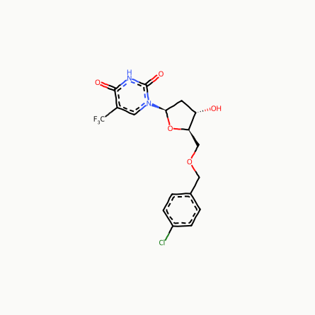 O=c1[nH]c(=O)n([C@H]2C[C@H](O)[C@@H](COCc3ccc(Cl)cc3)O2)cc1C(F)(F)F